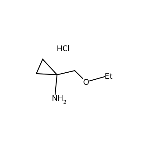 CCOCC1(N)CC1.Cl